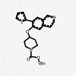 CC(C)(C)OC(=O)N1CCC(Oc2cc3ccncc3cc2-c2cccs2)CC1